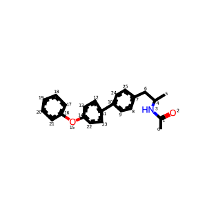 CC(=O)NC(C)Cc1ccc(-c2ccc(Oc3ccccc3)cc2)cc1